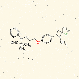 CC1[C@H](c2ccc(OCCCC(c3ccccc3)C(C)(C)C=O)cc2)CC1(C)F